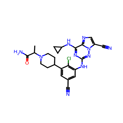 CC(C(N)=O)N1CCC(c2cc(C#N)cc(Nc3nc(NC4CC4)c4ncc(C#N)n4n3)c2Cl)CC1